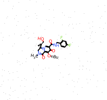 CCCCOc1c2n(cc(C(=O)NCc3ccc(F)cc3F)c1=O)[C@@]1(C[C@H]1CO)CN(C)C2=O